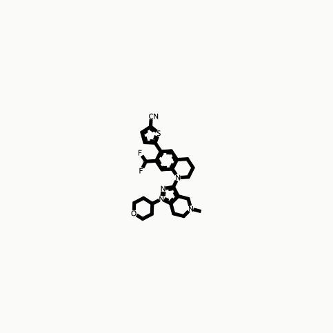 CN1CCc2c(c(N3CCCc4cc(-c5ccc(C#N)s5)c(C(F)F)cc43)nn2C2CCOCC2)C1